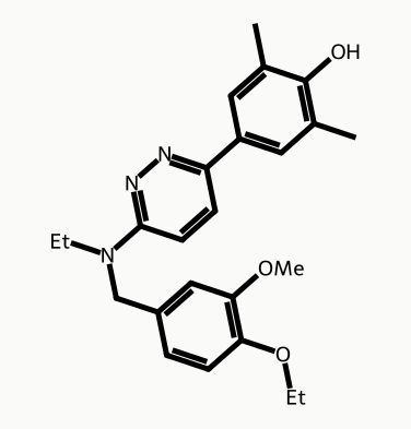 CCOc1ccc(CN(CC)c2ccc(-c3cc(C)c(O)c(C)c3)nn2)cc1OC